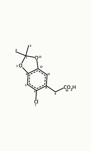 CC1(C)Oc2cc(Cl)c(CC(=O)O)cc2O1